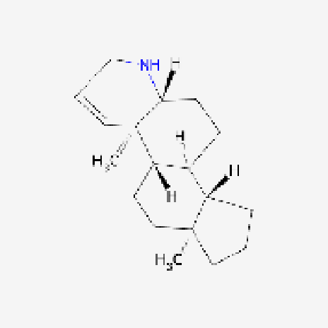 C[C@@]12CCC[C@H]1[C@@H]1CC[C@H]3NCC=C[C@]3(C)[C@H]1CC2